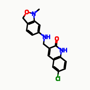 CN1OCc2ccc(NCc3cc4cc(Cl)ccc4[nH]c3=O)cc21